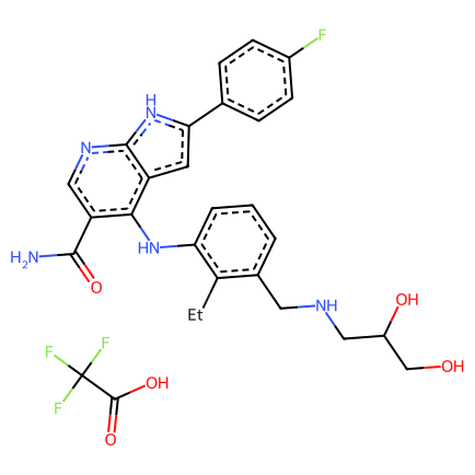 CCc1c(CNCC(O)CO)cccc1Nc1c(C(N)=O)cnc2[nH]c(-c3ccc(F)cc3)cc12.O=C(O)C(F)(F)F